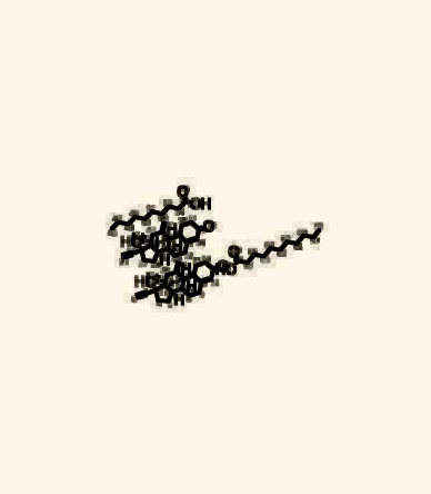 C#C[C@]1(O)CC[C@H]2[C@@H]3CCC4=CC(=O)CC[C@@H]4[C@H]3C(=C)C[C@@]21CC.C#C[C@]1(O)CC[C@H]2[C@@H]3CCC4=CC(=O)CC[C@@H]4[C@H]3C(=C)C[C@@]21CC.CCCCCCCCCC(=O)O.CCCCCCCCCCC(=O)O